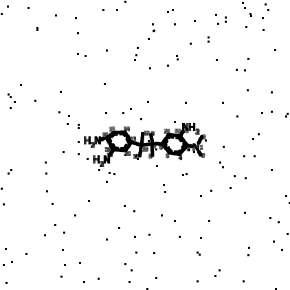 CN(C)c1ccc(C(C)(C)C(C)(C)c2ccc(N)c(N)c2)cc1N